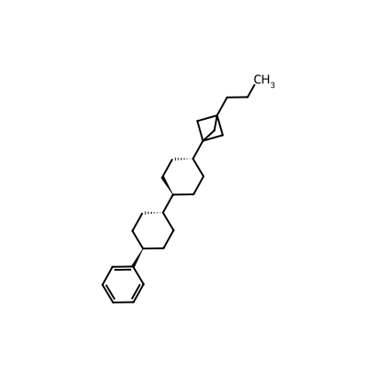 CCCC12CC([C@H]3CC[C@H]([C@H]4CC[C@H](c5ccccc5)CC4)CC3)(C1)C2